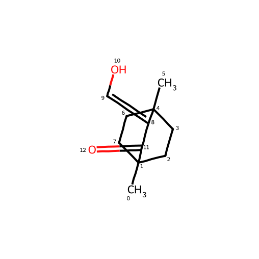 CC12CCC(C)(CC1)/C(=C\O)C2=O